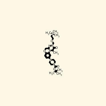 CC1C(=O)N(COCC[Si](C)(C)C)N=C2COc3ccc(N4CCN(C(=O)OC(C)(C)C)CC4)cc3N21